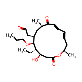 CCCO[C@H]1[C@@H](CC=O)C[C@@H](C)C(=O)/C=C/C=C/C[C@@H](C)OC(=O)C[C@@H](O)[C@@H]1CC